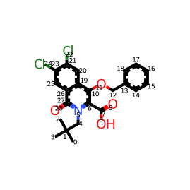 CC(C)(C)Cn1c(C(=O)O)c(OCc2ccccc2)c2cc(Cl)c(Cl)cc2c1=O